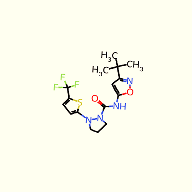 CC(C)(C)c1cc(NC(=O)N2CCCN2c2ccc(C(F)(F)F)s2)on1